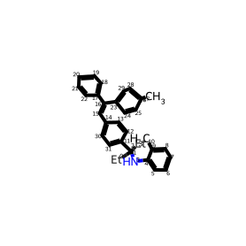 CCC(CC)(Nc1ccccc1C)c1ccc(C=C(c2ccccc2)c2ccc(C)cc2)cc1